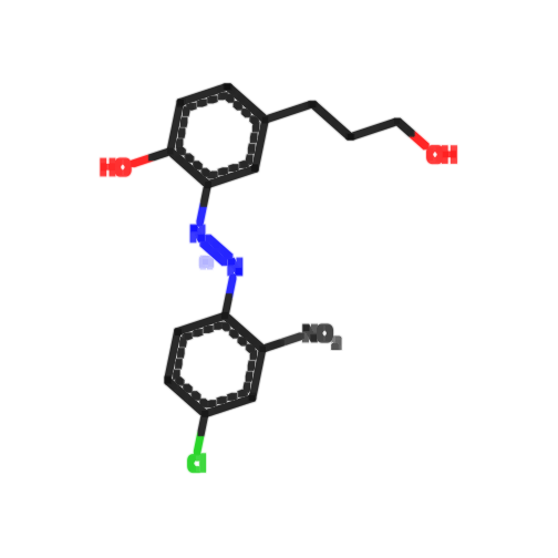 O=[N+]([O-])c1cc(Cl)ccc1/N=N/c1cc(CCCO)ccc1O